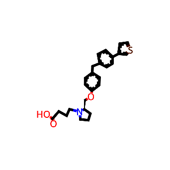 O=C(O)CCCN1CCC[C@@H]1COc1ccc(Cc2ccc(-c3ccsc3)cc2)cc1